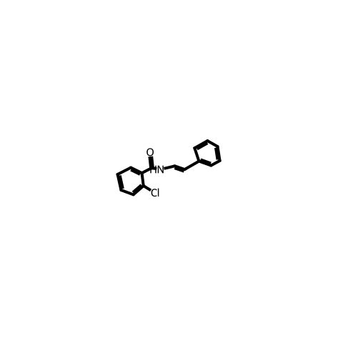 O=C(N/C=C/c1ccccc1)c1ccccc1Cl